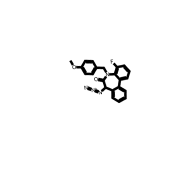 COc1ccc(CN2C(=O)C(N=[N+]=[N-])c3ccccc3-c3cccc(F)c32)cc1